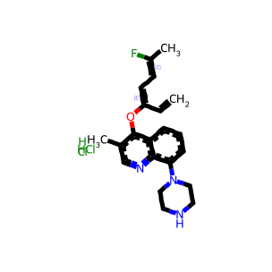 C=C/C(=C\C=C(\C)F)Oc1c(C)cnc2c(N3CCNCC3)cccc12.Cl.Cl